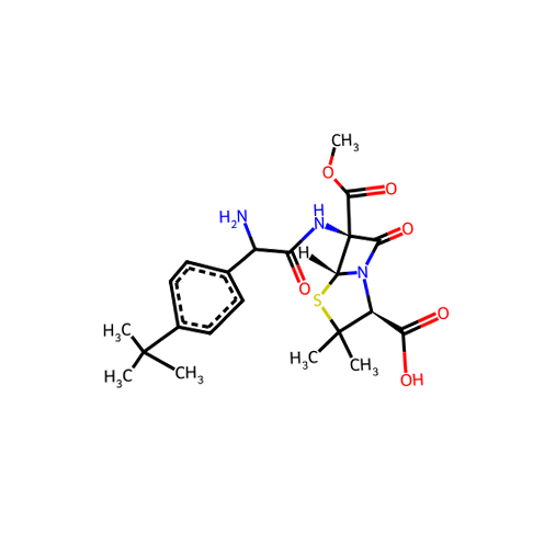 COC(=O)[C@]1(NC(=O)C(N)c2ccc(C(C)(C)C)cc2)C(=O)N2[C@@H](C(=O)O)C(C)(C)S[C@@H]21